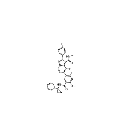 CNC(=O)c1c(-c2ccc(F)cc2)nn2ccc(-c3cc(C(=O)NC4(C5C=CC=CC5)CC4)c(OC)nc3C)c(F)c12